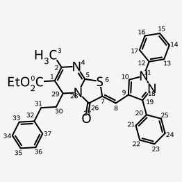 CCOC(=O)C1=C(C)N=c2s/c(=C\c3cn(-c4ccccc4)nc3-c3ccccc3)c(=O)n2C1CCc1ccccc1